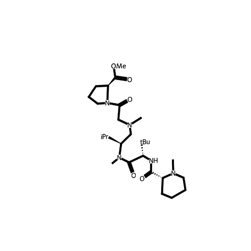 COC(=O)[C@@H]1CCCN1C(=O)CN(C)C[C@H](C(C)C)N(C)C(=O)[C@@H](NC(=O)[C@H]1CCCCN1C)C(C)(C)C